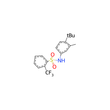 Cc1cc(NS(=O)(=O)c2ccccc2C(F)(F)F)ccc1C(C)(C)C